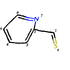 S=Cc1cc[c]cn1